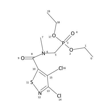 CCOP(=O)(CN(C)C(=O)c1snc(Cl)c1Cl)OCC